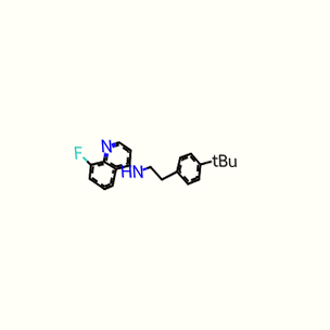 CC(C)(C)c1ccc(CCNc2ccnc3c(F)cccc23)cc1